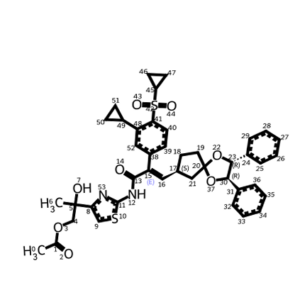 CC(=O)OCC(C)(O)c1csc(NC(=O)/C(=C/[C@H]2CCC3(C2)O[C@H](c2ccccc2)[C@@H](c2ccccc2)O3)c2ccc(S(=O)(=O)C3CC3)c(C3CC3)c2)n1